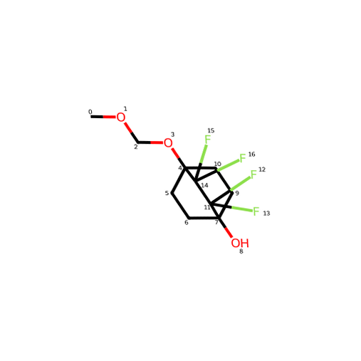 COCOC12CCC(O)(CC1)C(F)(F)C2(F)F